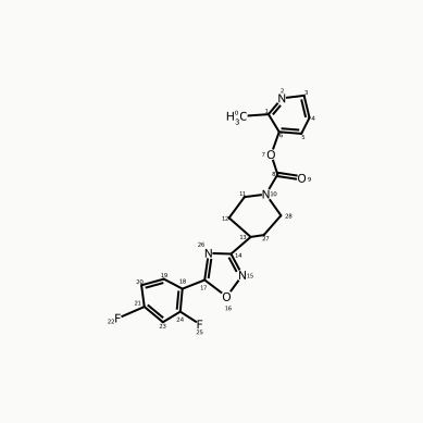 Cc1ncccc1OC(=O)N1CCC(c2noc(-c3ccc(F)cc3F)n2)CC1